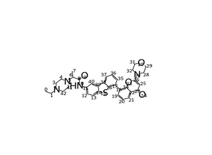 CCN1CCN(C(C)C(=O)Nc2ccc3sc4c(-c5cccc6c(=O)cc(N7CCOCC7)oc56)cccc4c3c2)CC1